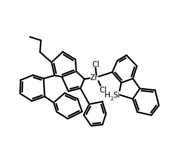 CCCc1ccc2c(c1-c1ccccc1-c1ccccc1)C=C(c1ccccc1)[CH]2[Zr]([Cl])([Cl])[c]1cccc2c1[SiH2]c1ccccc1-2